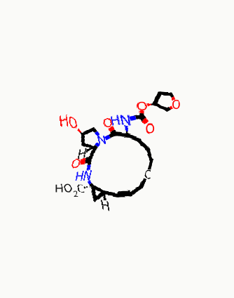 O=C(N[C@H]1CCCCC/C=C\[C@@H]2C[C@@]2(C(=O)O)NC(=O)[C@@H]2C[C@@H](O)CN2C1=O)O[C@H]1CCOC1